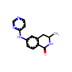 CC1Cc2cc(Nc3ccncn3)ccc2C(=O)N1